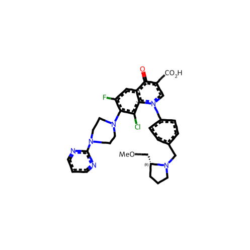 COC[C@H]1CCCN1Cc1ccc(-n2cc(C(=O)O)c(=O)c3cc(F)c(N4CCN(c5ncccn5)CC4)c(Cl)c32)cc1